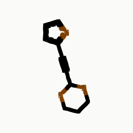 C(#CC1SCCCS1)c1cccs1